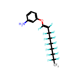 Nc1cccc(OC(F)=C(F)C(F)(F)C(F)(F)C(F)(F)C(F)(F)C(F)(F)C(F)(F)C(F)(F)F)c1